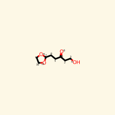 O=C(CCO)CCC1OCCO1